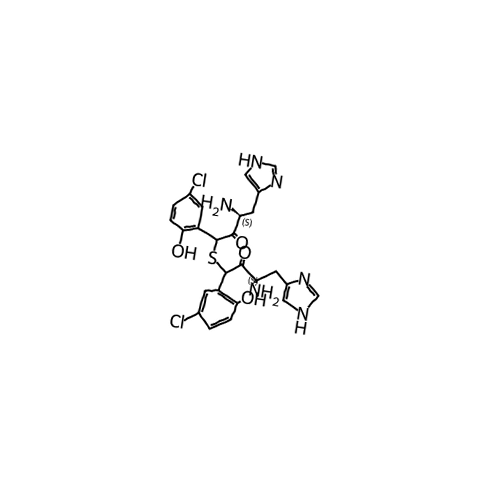 N[C@@H](Cc1c[nH]cn1)C(=O)C(SC(C(=O)[C@@H](N)Cc1c[nH]cn1)c1cc(Cl)ccc1O)c1cc(Cl)ccc1O